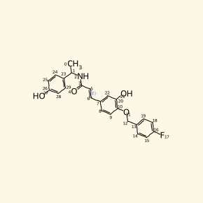 CC(NC(=O)/C=C/c1ccc(OCc2ccc(F)cc2)c(O)c1)c1ccc(O)cc1